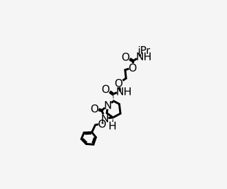 CC(C)NC(=O)OCCONC(=O)[C@@H]1CC[C@@H]2CN1C(=O)N2OCc1ccccc1